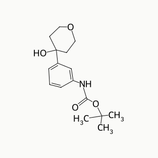 CC(C)(C)OC(=O)Nc1cccc(C2(O)CCOCC2)c1